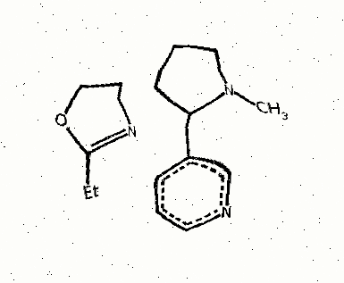 CCC1=NCCO1.CN1CCCC1c1cccnc1